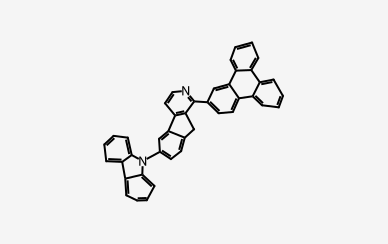 c1ccc2c(c1)c1ccccc1c1cc(-c3nccc4c3Cc3ccc(-n5c6ccccc6c6ccccc65)cc3-4)ccc21